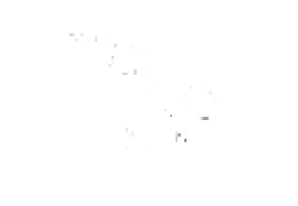 COc1ccc(CCn2c(-c3ccco3)nc3ccccc32)cc1